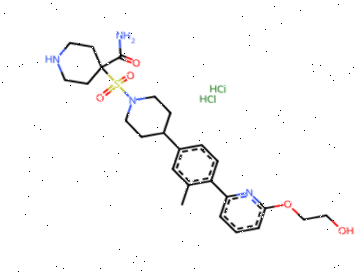 Cc1cc(C2CCN(S(=O)(=O)C3(C(N)=O)CCNCC3)CC2)ccc1-c1cccc(OCCO)n1.Cl.Cl